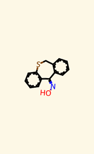 ON=C1c2ccccc2CSc2ccccc21